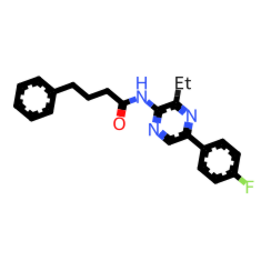 CCc1nc(-c2ccc(F)cc2)cnc1NC(=O)CCCc1ccccc1